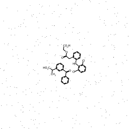 CC(C(=O)O)c1cccc(C(=O)c2ccccc2)c1.O=C(O)COC(=O)Cc1ccccc1Nc1c(Cl)cccc1Cl